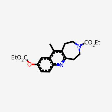 CCOC(=O)Oc1ccc2nc3c(c(C)c2c1)CCN(C(=O)OCC)CC3